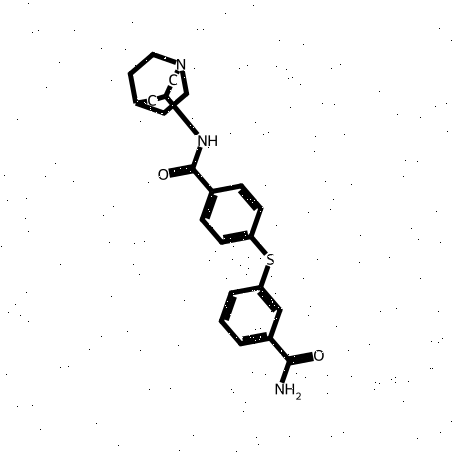 NC(=O)c1cccc(Sc2ccc(C(=O)NC3CC4CCN(CC4)C3)cc2)c1